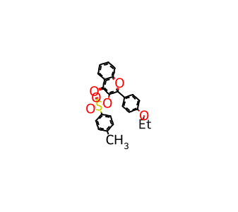 CCOc1ccc(-c2oc3ccccc3c(=O)c2OS(=O)(=O)c2ccc(C)cc2)cc1